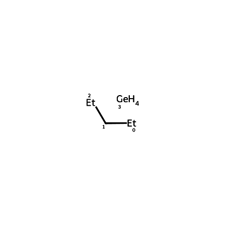 [CH2]CCCC.[GeH4]